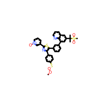 COOSc1ccc(-c2nc(-c3ccc[n+]([O-])c3)sc2-c2cccc(-c3cc(C(C)(C)S(C)(=O)=O)cc4cccnc34)c2)cc1